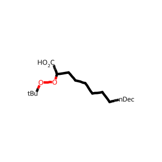 CCCCCCCCCCCCCCCCC(OOC(C)(C)C)C(=O)O